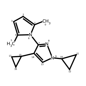 Cc1ccc(C)n1-c1nn(C2CC2)cc1C1CC1